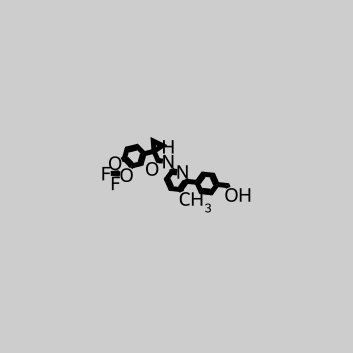 Cc1ccc(NC(=O)C2(c3ccc4c(c3)OC(F)(F)O4)CC2)nc1-c1ccc(CO)cc1